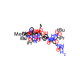 C=CCOC(=O)[C@@](O)(Cc1ccccc1)NC(=O)C[C@@H](OC)[C@@]1(O)CCCN1C(=O)C[C@@H](OC)[C@H]([C@@H](C)CC)N(C)C(=O)[C@@H](NC(=O)[C@H](C(C)C)N(C)C(=O)OCc1ccc(NC(=O)[C@H](CCCNC(N)=O)NC(=O)C(NC(=O)OC(C)(C)C)C(C)C)cc1)C(C)C